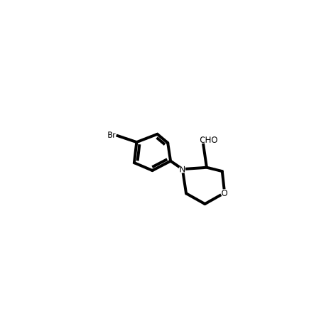 O=CC1COCCN1c1ccc(Br)cc1